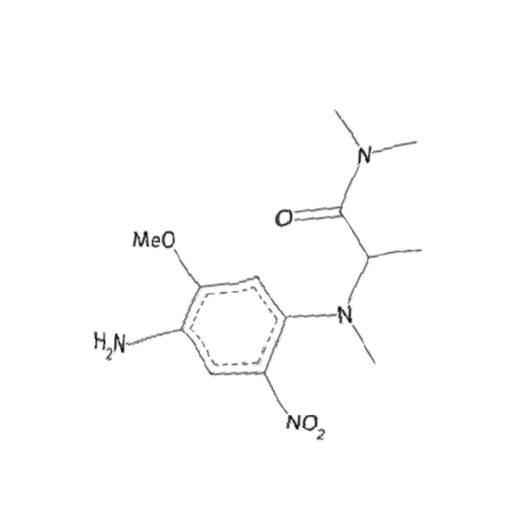 COc1cc(N(C)C(C)C(=O)N(C)C)c([N+](=O)[O-])cc1N